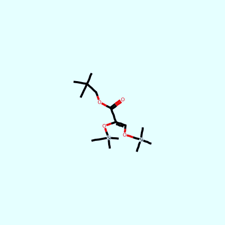 CC(C)(C)COC(=O)C(=CO[Si](C)(C)C)O[Si](C)(C)C